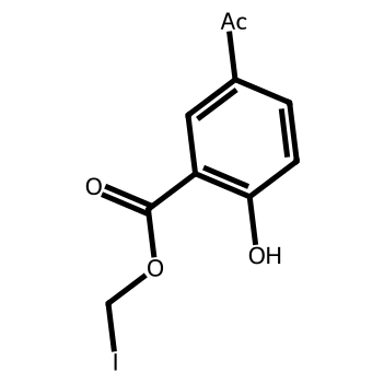 CC(=O)c1ccc(O)c(C(=O)OCI)c1